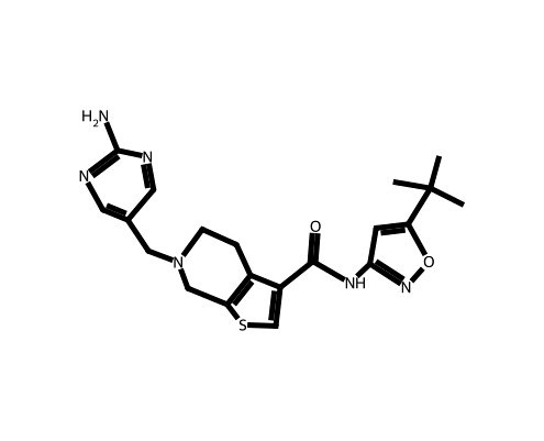 CC(C)(C)c1cc(NC(=O)c2csc3c2CCN(Cc2cnc(N)nc2)C3)no1